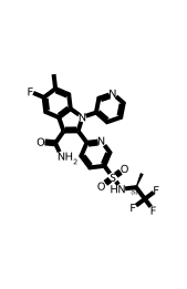 Cc1cc2c(cc1F)c(C(N)=O)c(-c1ccc(S(=O)(=O)N[C@@H](C)C(F)(F)F)cn1)n2-c1cccnc1